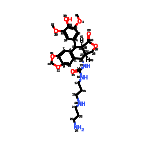 COc1cc(C2c3cc4c(cc3[C@@H](NC(=O)NCCCNCCCN)[C@H]3COC(=O)[C@H]23)OCO4)cc(OC)c1O